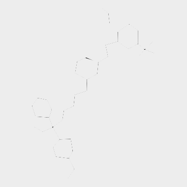 CCC[C@@H]1CCC(C(C)(C)C)CC1C[C@H](O)[C@@H]1CCCC(CCCCCC(CC)(C2CCCCC2)C2CCC(CC)CC2)C1